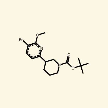 COc1nc(C2CCCN(C(=O)OC(C)(C)C)C2)ccc1Br